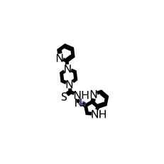 S=C(N/N=C1/CNc2cccnc21)N1CCN(c2ccccn2)CC1